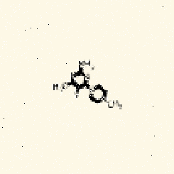 Cc1nc(N)nc(N2CCN(C)CC2)c1F